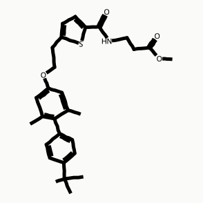 COC(=O)CCNC(=O)c1ccc(CCOc2cc(C)c(-c3ccc(C(C)(C)C)cc3)c(C)c2)s1